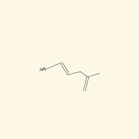 C=C(C)C/C=C/CCC